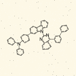 c1ccc(-c2cccc(-c3nc(-n4c5ccccc5c5ccc(-c6ccc(N(c7ccccc7)c7ccccc7)cc6)cc54)nc4ccccc34)c2)cc1